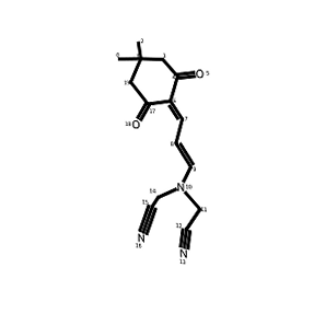 CC1(C)CC(=O)C(=C/C=C/N(CC#N)CC#N)C(=O)C1